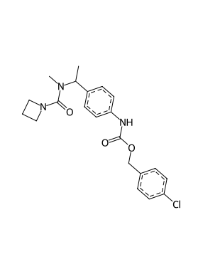 CC(c1ccc(NC(=O)OCc2ccc(Cl)cc2)cc1)N(C)C(=O)N1CCC1